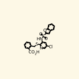 O=C(O)c1ccccc1CSc1ncc(Cl)cc1NS(=O)(=O)c1cc2ccccc2o1